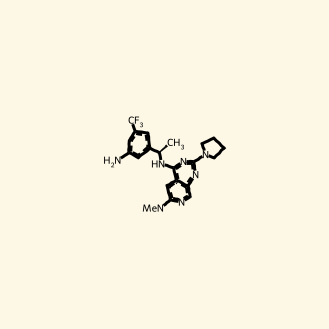 CNc1cc2c(N[C@H](C)c3cc(N)cc(C(F)(F)F)c3)nc(N3CCCC3)nc2cn1